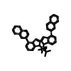 C[C](C)=[Hf]([CH3])([CH3])([CH]1C=Cc2c(-c3ccc4ccccc4c3)cccc21)[CH]1C=Cc2c(-c3ccc4ccccc4c3)cccc21